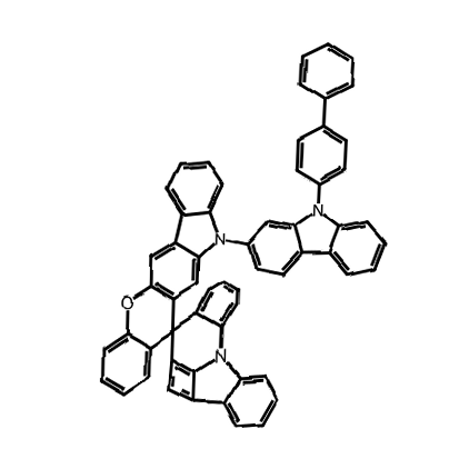 c1ccc(-c2ccc(-n3c4ccccc4c4ccc(-n5c6ccccc6c6cc7c(cc65)C5(c6ccccc6O7)c6ccccc6-n6c7ccccc7c7cccc5c76)cc43)cc2)cc1